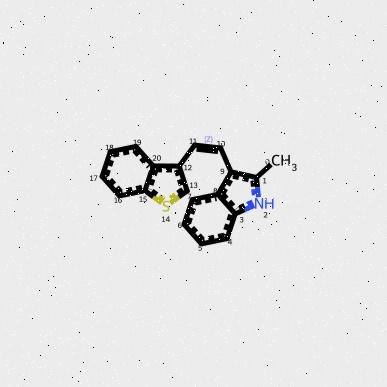 Cc1[nH]c2ccccc2c1/C=C\c1csc2ccccc12